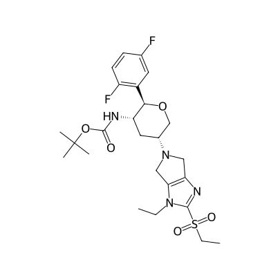 CCn1c(S(=O)(=O)CC)nc2c1CN([C@H]1CO[C@H](c3cc(F)ccc3F)[C@@H](NC(=O)OC(C)(C)C)C1)C2